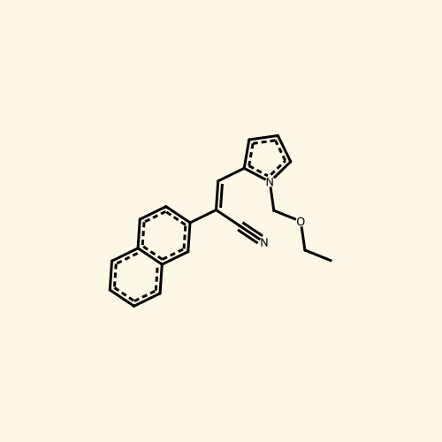 CCOCn1cccc1/C=C(\C#N)c1ccc2ccccc2c1